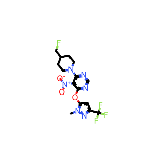 Cn1nc(C(F)(F)F)cc1Oc1ncnc(N2CCC(CF)CC2)c1[N+](=O)[O-]